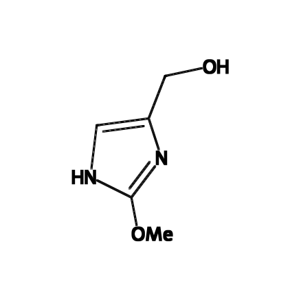 COc1nc(CO)c[nH]1